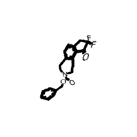 O=C(OCc1ccccc1)N1CCc2ccc3c(c2CC1)C(=O)C(F)(F)C3